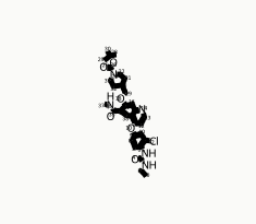 CCNC(=O)Nc1ccc(Oc2ccnc3cc(OCC4CCN(C(=O)OC(C)(C)C)CC4)c(C(=O)NC)cc23)cc1Cl